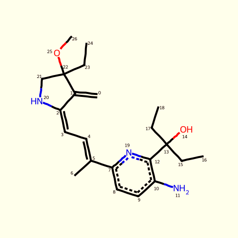 C=C1/C(=C\C=C(/C)c2ccc(N)c(C(O)(CC)CC)n2)NCC1(CC)OC